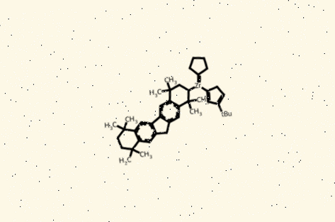 CC(C)(C)C1=CC[C]([Zr](=[C]2CCCC2)[CH]2CC(C)(C)c3cc4c(cc3C2(C)C)Cc2cc3c(cc2-4)C(C)(C)CCC3(C)C)=C1